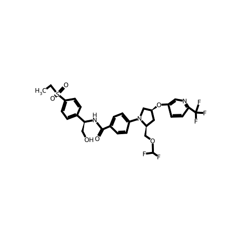 CCS(=O)(=O)c1ccc([C@H](CO)NC(=O)c2ccc(N3C[C@@H](Oc4ccc(C(F)(F)F)nc4)C[C@H]3COC(F)F)cc2)cc1